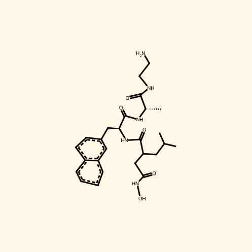 CC(C)CC(CC(=O)NO)C(=O)N[C@@H](Cc1ccc2ccccc2c1)C(=O)N[C@@H](C)C(=O)NCCN